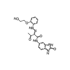 CC(=O)/C(=N\Nc1ccccc1OCCO)C(=O)Nc1ccc2[nH]c(=O)[nH]c2c1